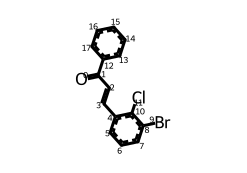 O=C(C=Cc1cccc(Br)c1Cl)c1ccccc1